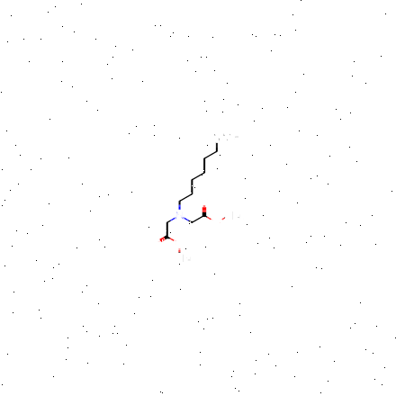 CNCCCCCCN(CC(=O)OC(C)(C)C)CC(=O)OC(C)(C)C